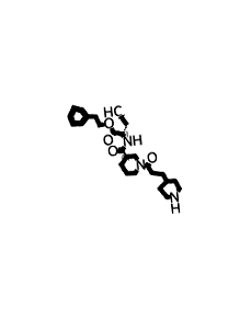 C#CC[C@H](NC(=O)[C@@H]1CCCN(C(=O)CCC2CCNCC2)C1)C(=O)OCCc1ccccc1